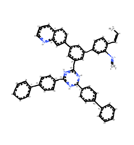 C=Nc1cc(-c2cc(-c3ccc4cccnc4c3)cc(-c3nc(-c4ccc(-c5ccccc5)cc4)nc(-c4ccc(-c5ccccc5)cc4)n3)c2)ccc1/C=C\C